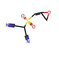 N#CC(C#N)S(=O)(=O)/C=C1\CO1